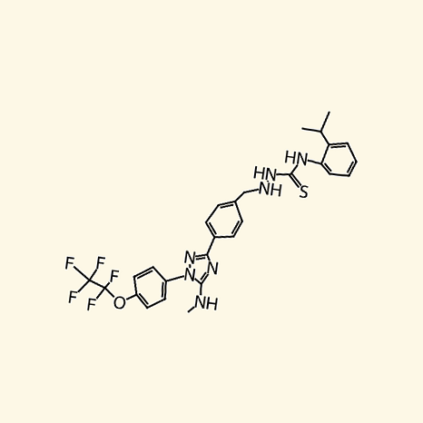 CNc1nc(-c2ccc(CNNC(=S)Nc3ccccc3C(C)C)cc2)nn1-c1ccc(OC(F)(F)C(F)(F)F)cc1